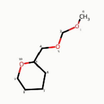 COCOCC1CCCCO1